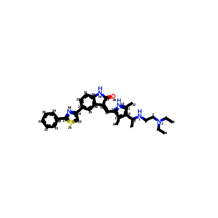 CCN(CC)CCNC(C)c1c(C)[nH]c(/C=C2\C(=O)Nc3ccc(-c4csc(-c5ccccc5)n4)cc32)c1C